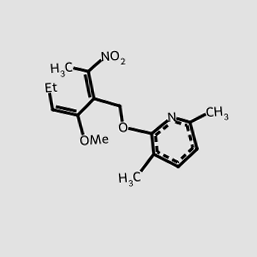 CC/C=C(OC)\C(COc1nc(C)ccc1C)=C(/C)[N+](=O)[O-]